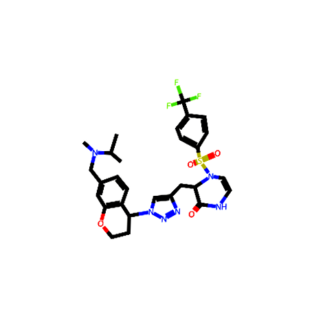 CC(C)N(C)Cc1ccc2c(c1)OCCC2n1cc(CC2C(=O)NC=CN2S(=O)(=O)c2ccc(C(F)(F)F)cc2)nn1